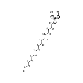 CCCCCCCCCCCCCCCCCCOB(OC)OC